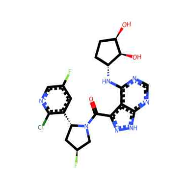 O=C(c1n[nH]c2ncnc(N[C@@H]3CC[C@@H](O)[C@H]3O)c12)N1C[C@@H](F)C[C@@H]1c1cc(F)cnc1Cl